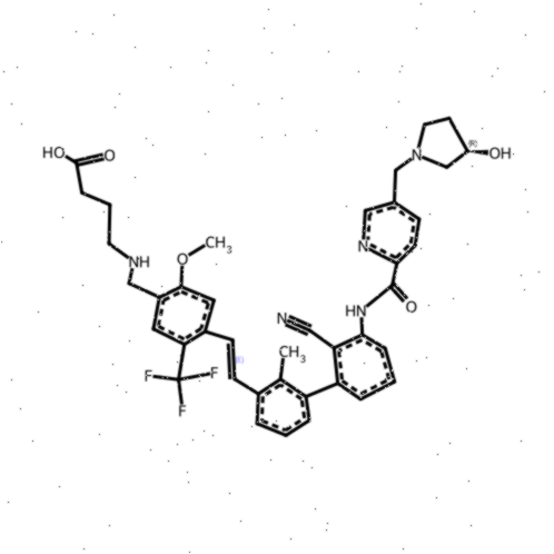 COc1cc(/C=C/c2cccc(-c3cccc(NC(=O)c4ccc(CN5CC[C@@H](O)C5)cn4)c3C#N)c2C)c(C(F)(F)F)cc1CNCCCC(=O)O